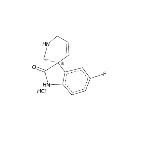 Cl.O=C1Nc2ccc(F)cc2[C@]12C=CCNC2